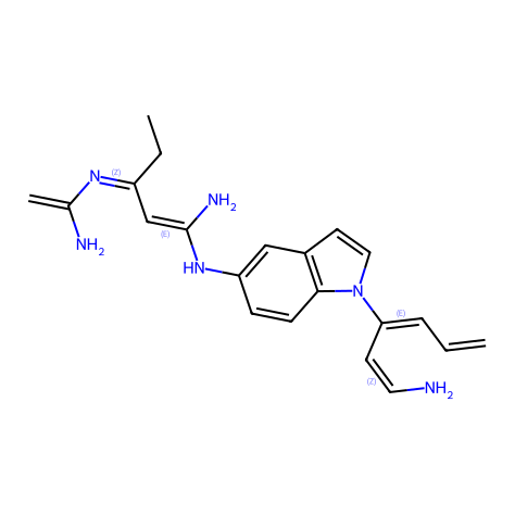 C=C/C=C(\C=C/N)n1ccc2cc(N/C(N)=C/C(CC)=N\C(=C)N)ccc21